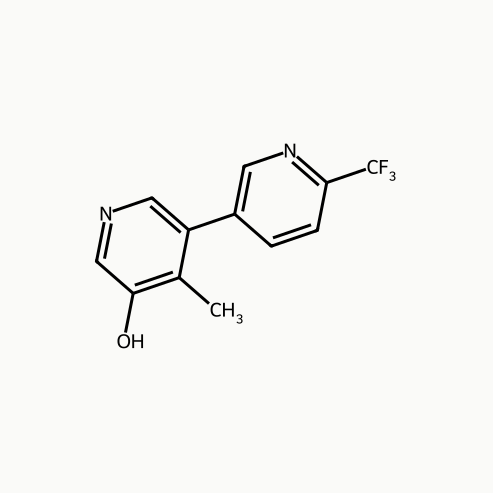 Cc1c(O)cncc1-c1ccc(C(F)(F)F)nc1